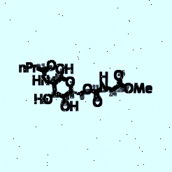 CCCC(=O)N[C@H]1C(O)O[C@H](COC(=O)NCC(=O)OC)[C@@H](O)[C@@H]1O